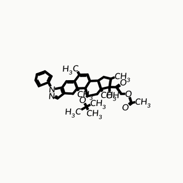 CC(=O)OCC(=O)C1(O)C(C)CC2C3C=C(C)C4=Cc5c(cnn5-c5ccccc5)CC4(C)C3C(OC(C)(C)C)CC21C